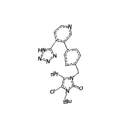 CCCc1c(Cl)n(C(C)(C)C)c(=O)n1Cc1ccc(-c2cnccc2-c2nnn[nH]2)cc1